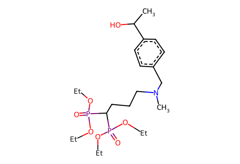 CCOP(=O)(OCC)C(CCCN(C)Cc1ccc(C(C)O)cc1)P(=O)(OCC)OCC